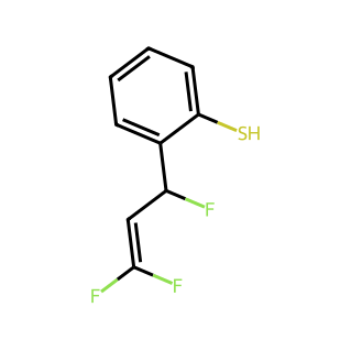 FC(F)=CC(F)c1ccccc1S